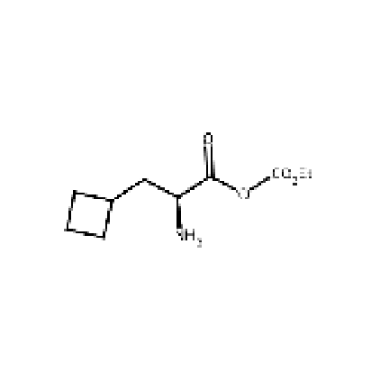 CCOC(=O)OC(=O)[C@@H](N)CC1CCC1